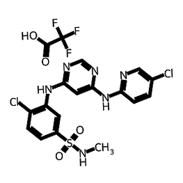 CNS(=O)(=O)c1ccc(Cl)c(Nc2cc(Nc3ccc(Cl)cn3)ncn2)c1.O=C(O)C(F)(F)F